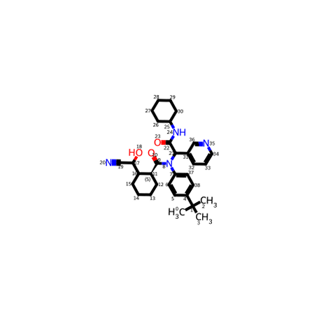 CC(C)(C)c1ccc(N(C(=O)[C@H]2CCCCC2C(O)C#N)C(C(=O)NC2CCCCC2)c2cccnc2)cc1